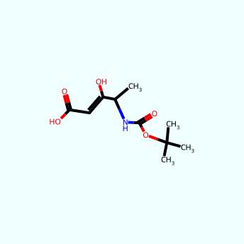 CC(NC(=O)OC(C)(C)C)/C(O)=C/C(=O)O